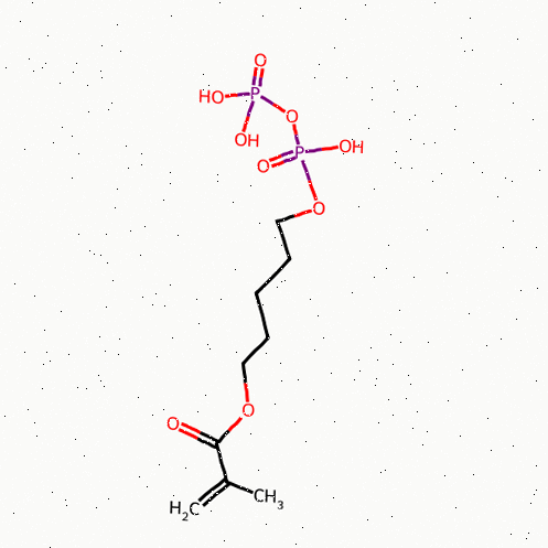 C=C(C)C(=O)OCCCCCOP(=O)(O)OP(=O)(O)O